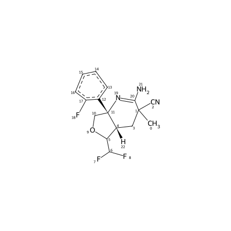 CC1(C#N)C[C@@H]2C(C(F)F)OC[C@]2(c2ccccc2F)N=C1N